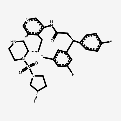 O=C(C[C@@H](c1ccc(F)cc1)c1cc(F)cc(F)c1)Nc1cncc(F)c1CC[C@H]1CNCCN1S(=O)(=O)N1CC[C@H](F)C1